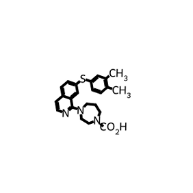 Cc1ccc(Sc2ccc3ccnc(N4CCCN(C(=O)O)CC4)c3c2)cc1C